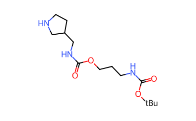 CC(C)(C)OC(=O)NCCCOC(=O)NCC1CCNC1